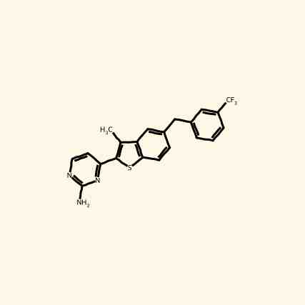 Cc1c(-c2ccnc(N)n2)sc2ccc(Cc3cccc(C(F)(F)F)c3)cc12